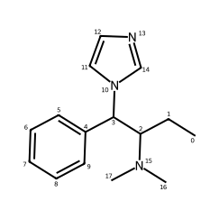 CCC(C(c1ccccc1)n1ccnc1)N(C)C